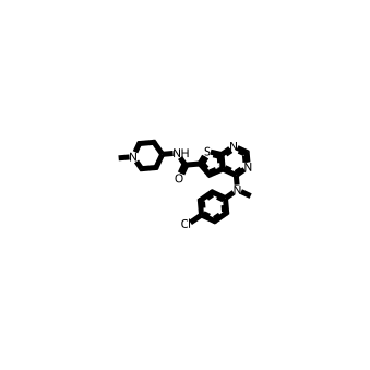 CN1CCC(NC(=O)c2cc3c(N(C)c4ccc(Cl)cc4)ncnc3s2)CC1